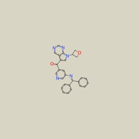 O=C(c1cncc(N=C(c2ccccc2)c2ccccc2)c1)c1cn(C2COC2)c2ncncc12